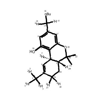 [2H]C([2H])([2H])C1=C[C@@]2([2H])c3c(O)cc(C([2H])([2H])CCCC)cc3OC(C)(C)[C@@H]2CC1([2H])[2H]